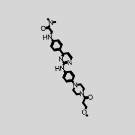 COCCC(=O)N1CCN(c2ccc(Nc3nccc(-c4ccc(NCC(=O)N(C)C)cc4)n3)cc2)CC1